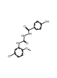 COc1ccc(Cl)cc1NC(=O)NNC(=O)c1ccc(O)cc1